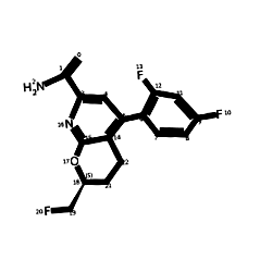 C=C(N)c1cc(-c2ccc(F)cc2F)c2c(n1)O[C@H](CF)CC2